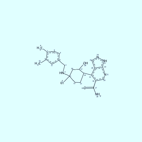 CCC1(NCc2ccc(C)c(C)c2)CCC(c2c(C(N)=O)cnc3[nH]ncc23)C(O)C1